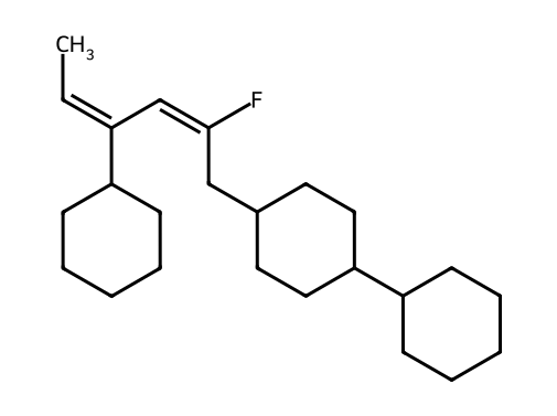 C/C=C(\C=C(\F)CC1CCC(C2CCCCC2)CC1)C1CCCCC1